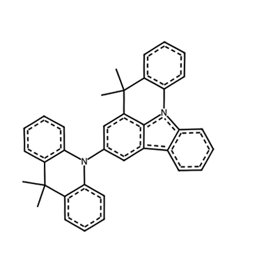 CC1(C)c2ccccc2N(c2cc3c4c(c2)c2ccccc2n4-c2ccccc2C3(C)C)c2ccccc21